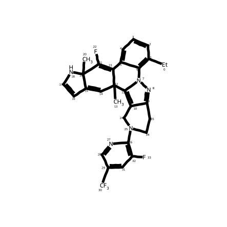 CCc1cccc2c1-n1nc3c(c1C1(C)C=C4C=CNC4(C)C(F)=C21)CN(c1ncc(C(F)(F)F)cc1F)CC3